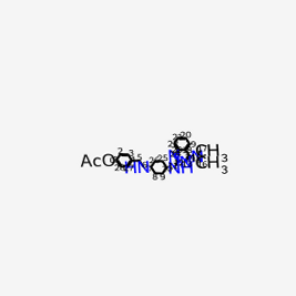 CC(=O)Oc1ccc(CN[C@H]2CC[C@@H](Nc3nc(N(C)C)c4ccccc4n3)CC2)cc1